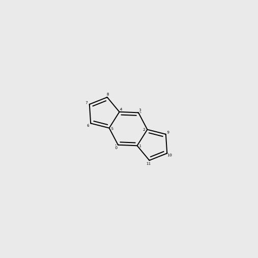 [c]1c2c([c]c3c1=CC=C3)=CC=C2